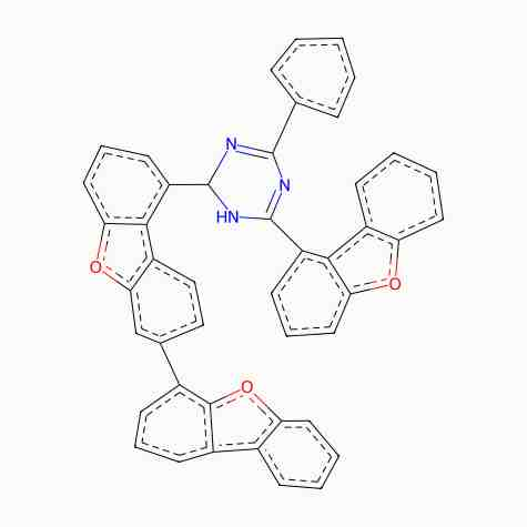 c1ccc(C2=NC(c3cccc4oc5cc(-c6cccc7c6oc6ccccc67)ccc5c34)NC(c3cccc4oc5ccccc5c34)=N2)cc1